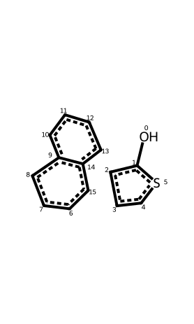 Oc1cccs1.c1ccc2ccccc2c1